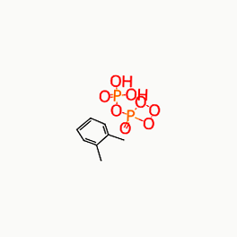 Cc1ccccc1C.O=P(O)(O)OP1(=O)OOO1